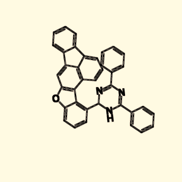 c1ccc(C2=NC(c3cccc4oc5cc6c7c(cccc7c5c34)-c3ccccc3-6)NC(c3ccccc3)=N2)cc1